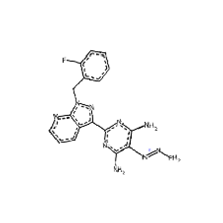 Nc1nc(-c2nn(Cc3ccccc3F)c3ncccc23)nc(N)c1/N=N/P